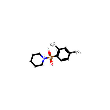 O=[N+]([O-])c1ccc(S(=O)(=O)N2CC[CH]CC2)c([N+](=O)[O-])c1